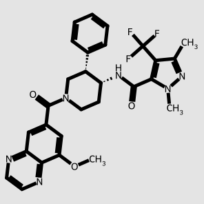 COc1cc(C(=O)N2CC[C@@H](NC(=O)c3c(C(F)(F)F)c(C)nn3C)[C@@H](c3ccccc3)C2)cc2nccnc12